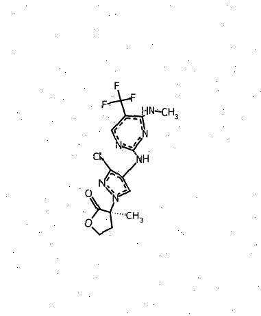 CNc1nc(Nc2cn([C@@]3(C)CCOC3=O)nc2Cl)ncc1C(F)(F)F